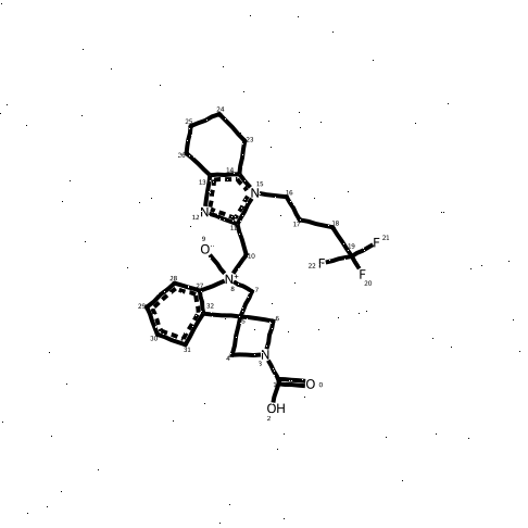 O=C(O)N1CC2(C1)C[N+]([O-])(Cc1nc3c(n1CCCC(F)(F)F)CCCC3)c1ccccc12